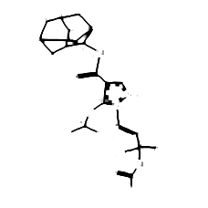 CC(=O)NC(C)(C)/C=C/n1ncc(C(=O)NC2C3CC4CC(C3)CC2C4)c1OC(C)C